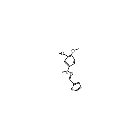 COc1ccc([C@H](C)N=Cc2cccs2)cc1OC